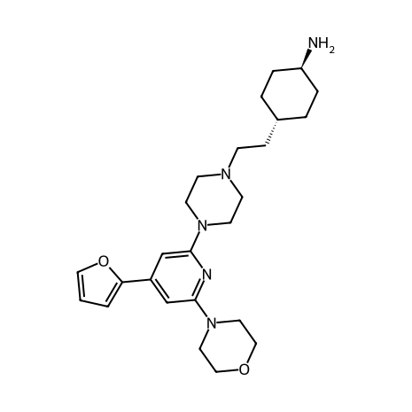 N[C@H]1CC[C@H](CCN2CCN(c3cc(-c4ccco4)cc(N4CCOCC4)n3)CC2)CC1